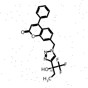 CC[C@](O)(c1cn(Cc2ccc3c(-c4ccccc4)cc(=O)oc3c2)nn1)C(F)(F)F